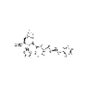 O=Cc1cc(C(F)(F)F)cnc1N1CCC[C@@H]1[C@H]1CC[C@H](CCOCc2ccccc2)CC1